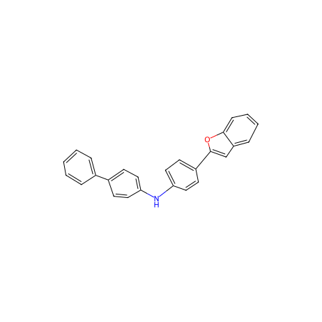 c1ccc(-c2ccc(Nc3ccc(-c4cc5ccccc5o4)cc3)cc2)cc1